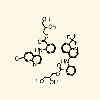 O=C(OCC(O)CO)c1ccccc1Nc1ccnc2c(C(F)(F)F)cccc12.O=C(OCC(O)CO)c1ccccc1Nc1ccnc2cc(Cl)ccc12